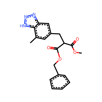 COC(=O)C(Cc1cc(C)c2[nH]nnc2c1)C(=O)OCc1ccccc1